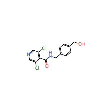 O=C(NCc1ccc(CO)cc1)c1c(Cl)cncc1Cl